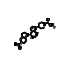 CC(=O)N1CCC(n2ccc3c(N4CCc5cc([N+](=O)[O-])ccc54)ncnc32)CC1